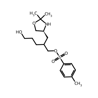 Cc1ccc(S(=O)(=O)OCC(CCCO)C[C@H]2COC(C)(C)N2)cc1